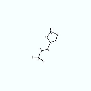 CC(C)OCC1CCNC1